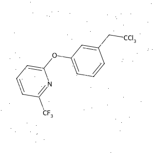 FC(F)(F)c1cccc(Oc2cccc(CC(Cl)(Cl)Cl)c2)n1